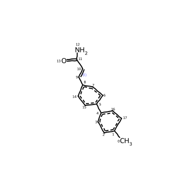 Cc1ccc(-c2ccc(/C=C/C(N)=O)cc2)cc1